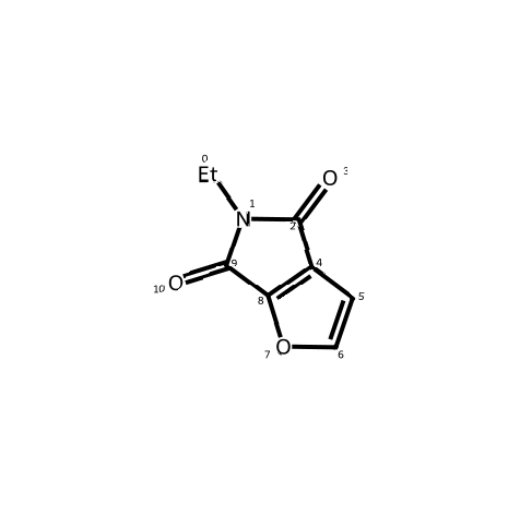 CCN1C(=O)c2ccoc2C1=O